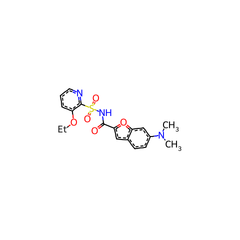 CCOc1cccnc1S(=O)(=O)NC(=O)c1cc2ccc(N(C)C)cc2o1